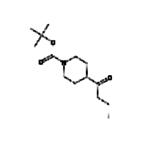 CCCC(=O)C1CCN(C(=O)OC(C)(C)C)CC1